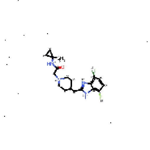 CC1(NC(=O)CN2CCC(Cc3nc4c(Cl)ccc(F)c4[nH]3)CC2)CC1